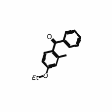 CCOc1ccc(C(=O)c2ccccc2)c(C)c1